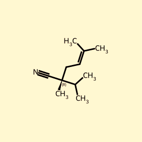 CC(C)=CC[C@@](C)(C#N)C(C)C